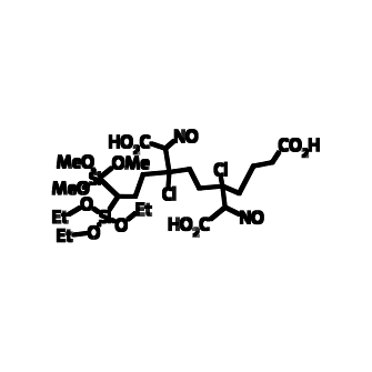 CCO[Si](OCC)(OCC)C(CCC(Cl)(CCC(Cl)(CCCC(=O)O)C(N=O)C(=O)O)C(N=O)C(=O)O)[Si](OC)(OC)OC